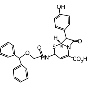 O=C(COC(c1ccccc1)c1ccccc1)NC1C=C(C(=O)O)N2C(=O)C(c3ccc(O)cc3)[C@H]2S1